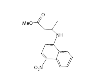 COC(=O)CC(C)Nc1ccc([N+](=O)[O-])c2ccccc12